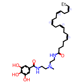 CC/C=C\C/C=C\C/C=C\C/C=C\C/C=C\CCCC(=O)NCCN(C)CCNC(=O)c1cc(O)c(O)c(O)c1